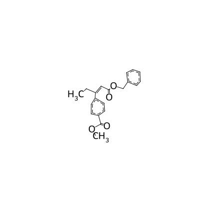 CCC(=CC(=O)OCc1ccccc1)c1ccc(C(=O)OC)cc1